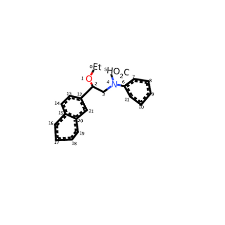 CCOC(CN(C(=O)O)c1ccccc1)c1ccc2ccccc2c1